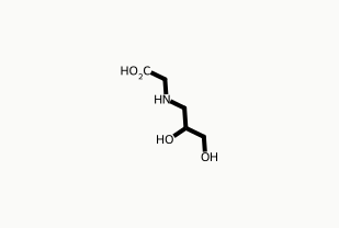 O=C(O)CNCC(O)CO